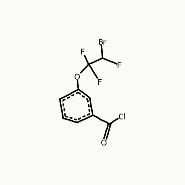 O=C(Cl)c1cccc(OC(F)(F)C(F)Br)c1